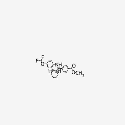 COC(=O)c1ccc([C@@H]2Nc3ccc(OC(F)F)cc3[C@@H]3CCCC[C@@H]32)cc1